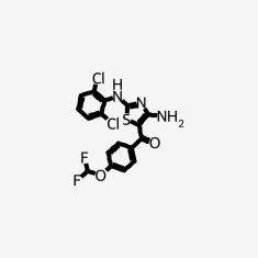 Nc1nc(Nc2c(Cl)cccc2Cl)sc1C(=O)c1ccc(OC(F)F)cc1